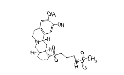 CS(=O)(=O)NCCCS(=O)(=O)N1CCC[C@H]2CN3CCc4cc(O)c(O)cc4[C@@H]3C[C@H]21